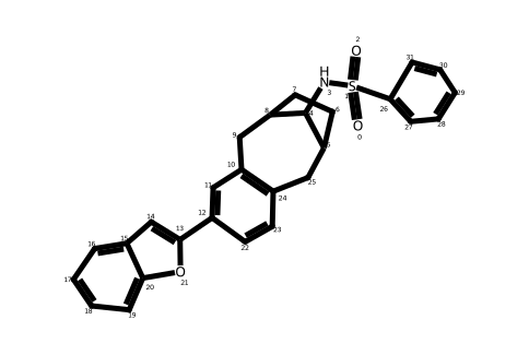 O=S(=O)(NC1C2CCC1Cc1cc(-c3cc4ccccc4o3)ccc1C2)c1ccccc1